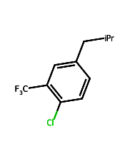 CC(C)Cc1ccc(Cl)c(C(F)(F)F)c1